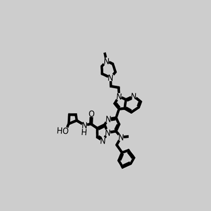 CN1CCN(CCn2cc(-c3cc(N(C)Cc4ccccc4)n4ncc(C(=O)NC5CCC5O)c4n3)c3cccnc32)CC1